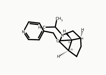 CC(C)N1C[C@H]2CC[C@@H](C1)[C@@H]2OCc1ccncc1